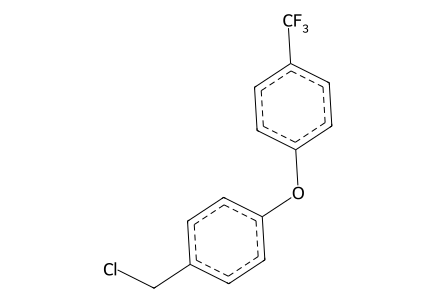 FC(F)(F)c1ccc(Oc2ccc(CCl)cc2)cc1